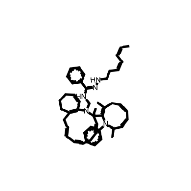 C/C=C\C=C/CCNN=C(NCN1C2=C(C/C=C/C=C\C/C=C\C1(C)/C1=C(\C)C/C=C\C=C/C(C)N1c1ccccc1)CCCC=C2)c1ccccc1